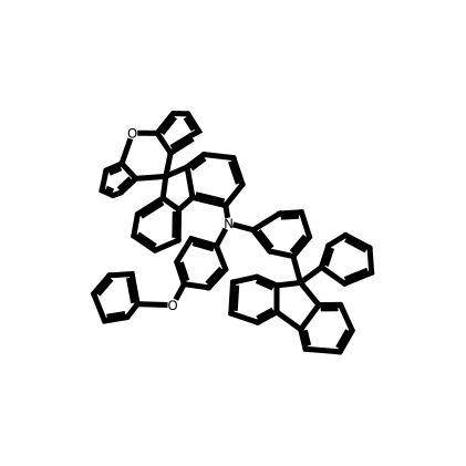 c1ccc(Oc2ccc(N(c3cccc(C4(c5ccccc5)c5ccccc5-c5ccccc54)c3)c3cccc4c3-c3ccccc3C43c4ccccc4Oc4ccccc43)cc2)cc1